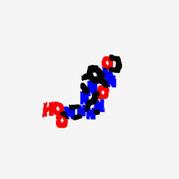 Cc1ccc2c(cnn2C2CCCCO2)c1-n1c(C)nc2c(N3CCN(C(=O)O)CC3)ncnc2c1=O